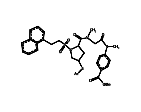 COC(=O)c1ccc(N(C)C(=O)CN(C)C(=O)C2CC(SC(C)=O)CN2S(=O)(=O)CCc2cccc3ccccc23)cc1